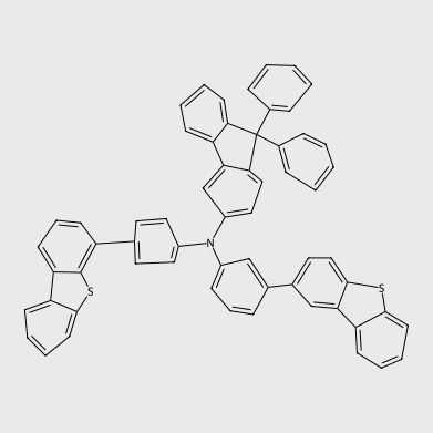 c1ccc(C2(c3ccccc3)c3ccccc3-c3cc(N(c4ccc(-c5cccc6c5sc5ccccc56)cc4)c4cccc(-c5ccc6sc7ccccc7c6c5)c4)ccc32)cc1